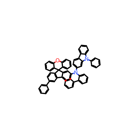 c1ccc(-c2ccc3c(c2)-c2ccc(N(c4ccc5c6ccccc6n(-c6ccccc6)c5c4)c4ccccc4-c4ccccc4)cc2C32c3ccccc3Oc3ccccc32)cc1